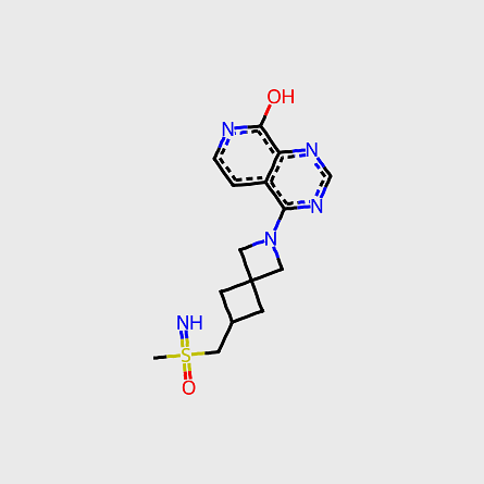 CS(=N)(=O)CC1CC2(C1)CN(c1ncnc3c(O)nccc13)C2